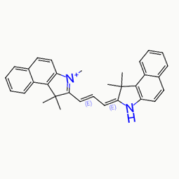 C[N+]1=C(/C=C/C=C2/Nc3ccc4ccccc4c3C2(C)C)C(C)(C)c2c1ccc1ccccc21